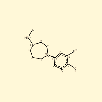 CNN1CCC[C@H](c2cnc(Cl)c(F)c2)CC1